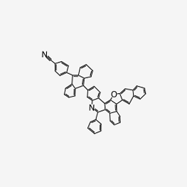 N#Cc1ccc(-c2c3ccccc3c(-c3ccc4c(c3)nc(-c3ccccc3)c3c5ccccc5c5c6cc7ccccc7cc6oc5c43)c3ccccc23)cc1